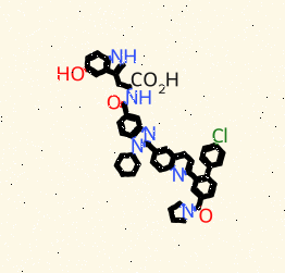 O=C(N[C@@H](Cc1c[nH]c2ccc(O)cc12)C(=O)O)c1ccc2c(c1)nc(-c1ccc3nc(-c4cc(C(=O)N5CCCC5)ccc4-c4ccc(Cl)cc4)ccc3c1)n2C1CCCCC1